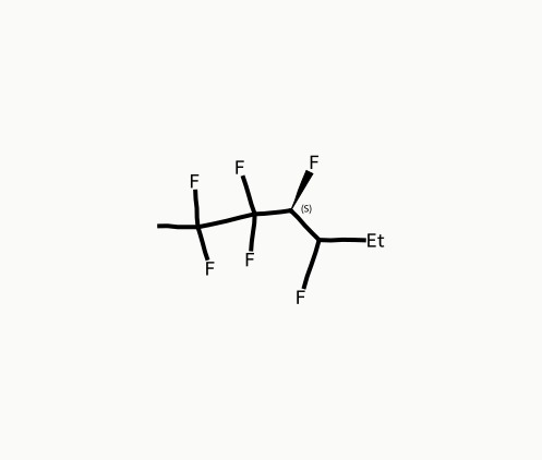 [CH2]CC(F)[C@H](F)C(F)(F)C(C)(F)F